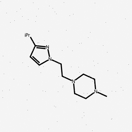 CC(C)c1ccn(CCN2CCN(C)CC2)n1